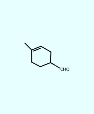 CC1=CCC(C=O)CC1